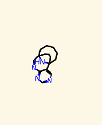 C1=Nc2ncncc2C23CCCCCC1(CCC2)N3